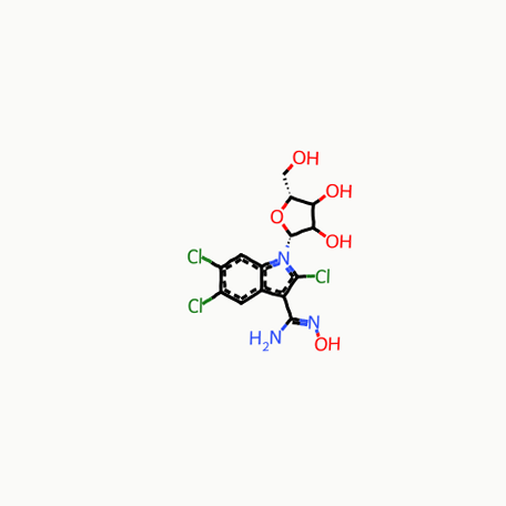 N/C(=N\O)c1c(Cl)n([C@@H]2O[C@H](CO)C(O)C2O)c2cc(Cl)c(Cl)cc12